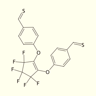 FC1(F)C(Oc2ccc(C=S)cc2)=C(Oc2ccc(C=S)cc2)C(F)(F)C1(F)F